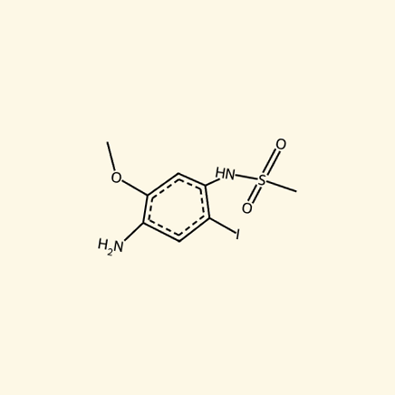 COc1cc(NS(C)(=O)=O)c(I)cc1N